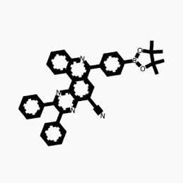 CC1(C)OB(c2ccc(-c3nc4ccccc4c4c3cc(C#N)c3nc(-c5ccccc5)c(-c5ccccc5)nc34)cc2)OC1(C)C